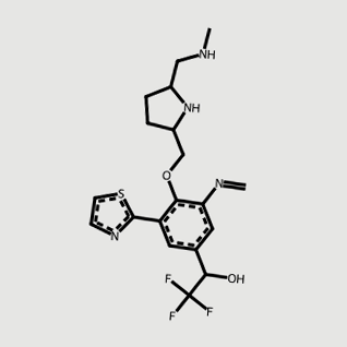 C=Nc1cc(C(O)C(F)(F)F)cc(-c2nccs2)c1OCC1CCC(CNC)N1